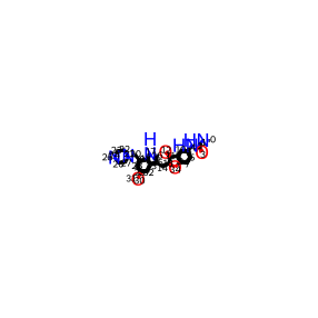 CNC(=O)Nc1ccc2c(c1)C(=O)C(=Cc1c[nH]c3c(CN4CCN(C)CC4)cc(OC)cc13)O2